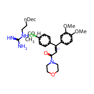 CC(=O)O.CCCCCCCCCCCCNC(=N)N.COc1ccc(/C(=C/C(=O)N2CCOCC2)c2ccc(Cl)cc2)cc1OC